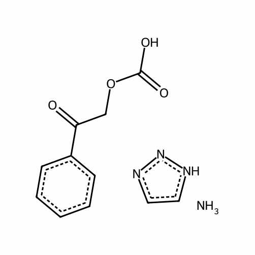 N.O=C(O)OCC(=O)c1ccccc1.c1c[nH]nn1